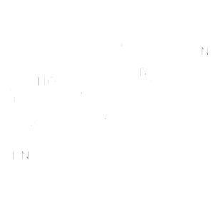 N#CB1CCC(O)(C2CCNC2=O)CC1